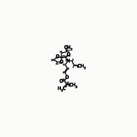 C=CCN(CC=COC(=O)C(=C)C)C(=O)C1(CC=C)OCCO1